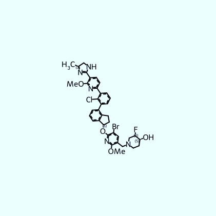 COc1nc(O[C@H]2CCc3c(-c4cccc(-c5ccc(C6=N[C@@H](C)CN6)c(OC)n5)c4Cl)cccc32)c(Br)cc1CN1CC[C@H](O)[C@H](F)C1